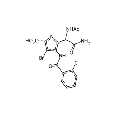 CC(=O)NC(C(N)=O)n1nc(C(=O)O)c(Br)c1NC(=O)c1ccccc1Cl